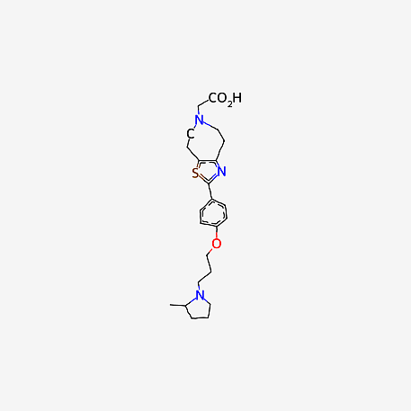 CC1CCCN1CCCOc1ccc(-c2nc3c(s2)CCN(CC(=O)O)CC3)cc1